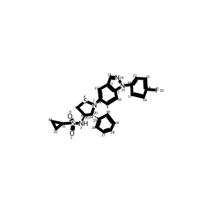 O=S(=O)(N[C@H]1CSN(c2ccc3c(cnn3-c3ccc(F)cc3)c2)[C@@H]1c1ccccc1)C1CC1